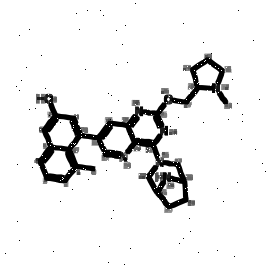 Cc1cccc2cc(O)cc(-c3cnc4c(N5CC6CCC(C5)N6)nc(OCC5CCCN5C)nc4c3)c12